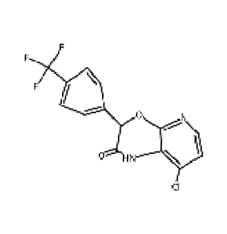 O=C1Nc2c(Cl)ccnc2OC1c1ccc(C(F)(F)F)cc1